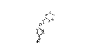 N#Cc1ccc(OCCC2CCCCC2)nc1